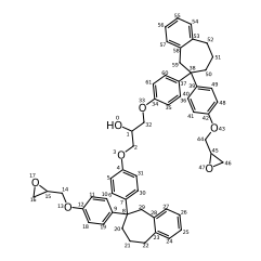 OC(COc1ccc(C2(c3ccc(OCC4CO4)cc3)CCCc3ccccc3C2)cc1)COc1ccc(C2(c3ccc(OCC4CO4)cc3)CCCc3ccccc3C2)cc1